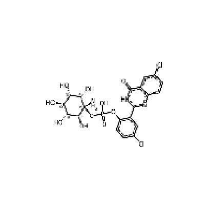 N[C@@]1(OP(=O)(O)Oc2ccc(Cl)cc2-c2nc3ccc(Cl)cc3c(=O)[nH]2)[C@@H](O)[C@H](O)[C@@H](O)[C@H](O)[C@@H]1O